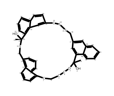 CC1(O)OCCCCc2cccc3c(cccc23)CS[C@](C)(O)c2cccc3ccc(cc23)CSSCc2cc1c1ccccc1c2